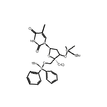 Cc1cn([C@H]2CC(O[Si](C)(C)C(C)(C)C)[C@@](C=O)(CO[Si](c3ccccc3)(c3ccccc3)C(C)(C)C)O2)c(=O)[nH]c1=O